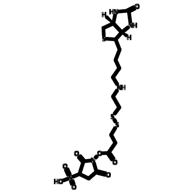 O=C1N[C@H]2CSC(CCCCNCCSSCCC(=O)ON3C(=O)CC(S(=O)(=O)O)C3=O)[C@H]2N1